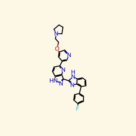 Fc1ccc(-c2cccc3[nH]c(-c4n[nH]c5ccc(-c6cncc(OCCN7CCCC7)c6)nc45)nc23)cc1